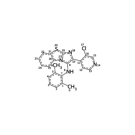 Cc1cccc(C)c1Nc1c(-c2ccncc2Cl)nc2sc3ccccc3n12